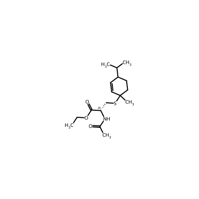 CCOC(=O)[C@H](CSC1(C)C=CC(C(C)C)CC1)NC(C)=O